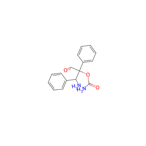 NC(=O)OC(C=O)(c1ccccc1)C(N)c1ccccc1